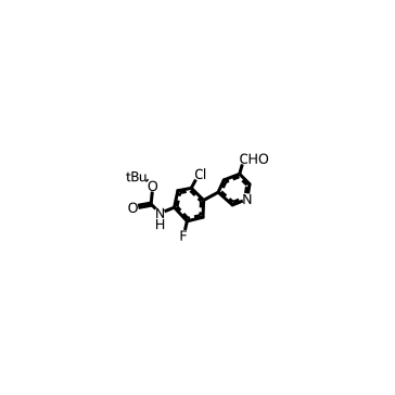 CC(C)(C)OC(=O)Nc1cc(Cl)c(-c2cncc(C=O)c2)cc1F